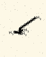 CCCCc1nc2c(N)nc3cc(C4CCN(C)CC4)sc3c2n1CC1CCN(CCOCCOCCOCCOCCOCCOCCOCCOCCN)CC1